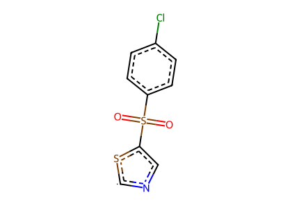 O=S(=O)(c1ccc(Cl)cc1)c1cn[c]s1